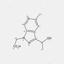 Cc1cc2c(C(C)O)nn(CC(=O)O)c2cn1